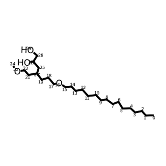 CCCCCCCCCCCCCCCCOCCC[C](CCOC)CC(O)CO